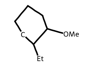 CCC1CCCCC1OC